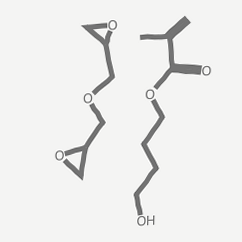 C(OCC1CO1)C1CO1.C=C(C)C(=O)OCCCCO